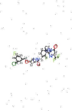 O=c1cc(C(F)F)nc(-c2c(C(F)(F)F)ccc(CNC(=O)[C@H]3C[C@H](OCc4cc(F)cc(Cl)c4)C3)c2F)[nH]1